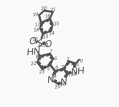 Cc1cc2c(-c3ccc(NS(=O)(=O)c4ccc5c(c4)CCC5)cc3)ncnc2[nH]1